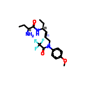 CC[C@@H](/C=C/CN(C(=O)C(F)(F)F)c1ccc(OC)cc1)NC(=O)[C@@H](N)CC